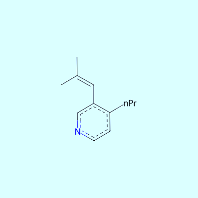 CCCc1ccncc1C=C(C)C